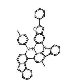 Cc1ccc(N2B3c4cc5oc(-c6ccccc6)cc5cc4-n4c5ccccc5c5c(C)cc(c3c54)-c3c2ccc2sc4ccccc4c32)cc1